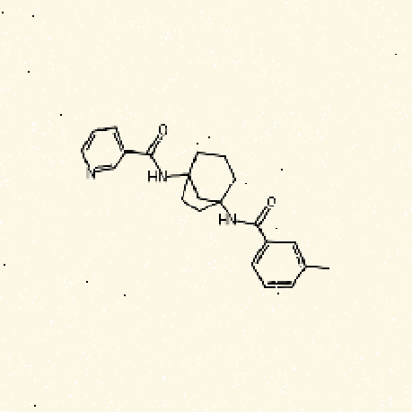 Cc1cccc(C(=O)NC23CCCC(NC(=O)c4cccnc4)(CC2)C3)c1